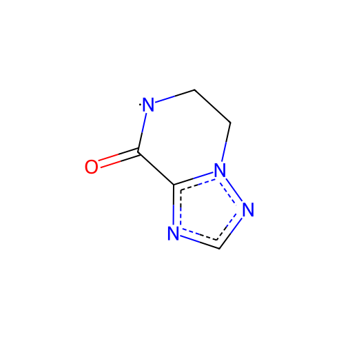 O=C1[N]CCn2ncnc21